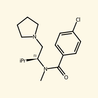 CC(C)[C@@H](CN1CCCC1)N(C)C(=O)c1ccc(Cl)cc1